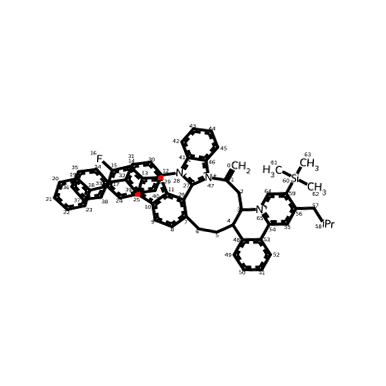 C=C1CC2C(CCc3ccc4c(sc5cc(F)c(-c6ccccc6)cc54)c3-c3n(-c4ccc(-c5ccccc5)cc4)c4ccccc4[n+]31)c1ccccc1-c1cc(CC(C)C)c([Si](C)(C)C)c[n+]12